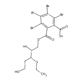 CCOC(CCO)C(O)COC(=O)c1c(Br)c(Br)c(Br)c(Br)c1C(=O)O